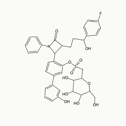 O=C1C(CCC(O)c2ccc(F)cc2)C(c2ccc(-c3cccc(O)c3)cc2OS(=O)(=O)CC2OC(CO)C(O)C(O)C2O)N1c1ccccc1